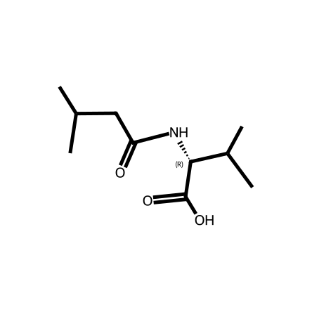 CC(C)CC(=O)N[C@@H](C(=O)O)C(C)C